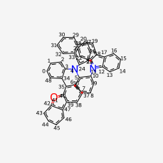 c1ccc(N(c2ccccc2-n2c3ccccc3c3ccccc32)c2cccc3ccccc23)c(-c2cccc3c2oc2ccccc23)c1